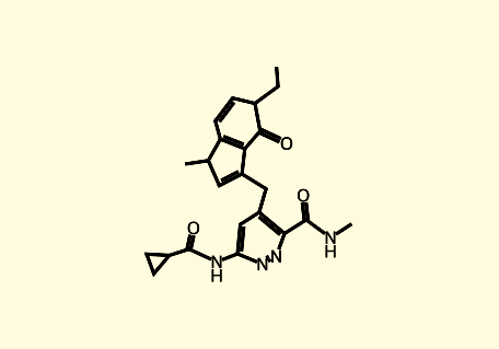 CCC1C=CC2=C(C1=O)C(Cc1cc(NC(=O)C3CC3)nnc1C(=O)NC)=CC2C